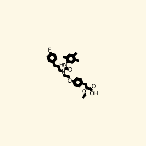 CCOC(Cc1ccc(OCCN(CCCc2ccc(F)cc2)C(=O)Nc2cc(C)c(C)cc2C)cc1)C(=O)O